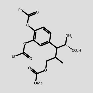 CCC(=O)Oc1ccc(C(C(C)COC(=O)OC)[C@H](N)C(=O)O)cc1OC(=O)CC